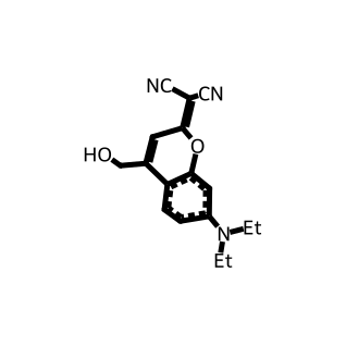 CCN(CC)c1ccc2c(c1)OC(=C(C#N)C#N)C=C2CO